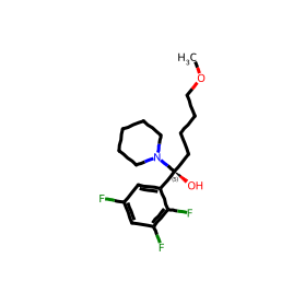 COCCCC[C@](O)(c1cc(F)cc(F)c1F)N1CCCCC1